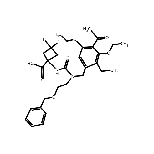 CCOc1cc(CN(CCOCc2ccccc2)C(=O)NC2(C(=O)O)CC(F)(F)C2)c(CC)c(OCC)c1C(C)=O